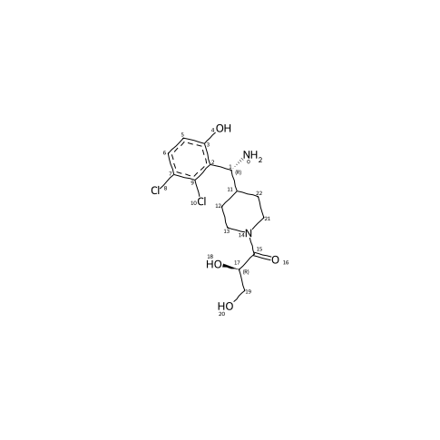 N[C@@H](c1c(O)ccc(Cl)c1Cl)C1CCN(C(=O)[C@H](O)CO)CC1